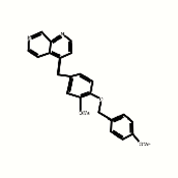 COc1ccc(COc2ccc(Cc3ccnc4cnccc34)cc2OC)cc1